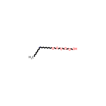 CCCCCCCC/C=C\CCCCCCCCOCCOCCOCCOCCOCCO